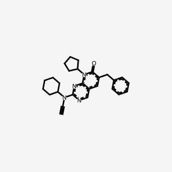 C#CN(c1ncc2cc(Cc3ccccc3)c(=O)n(C3CCCC3)c2n1)C1CCCCC1